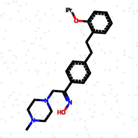 CC(C)Oc1ccccc1CCc1ccc(C(CN2CCN(C)CC2)=NO)cc1